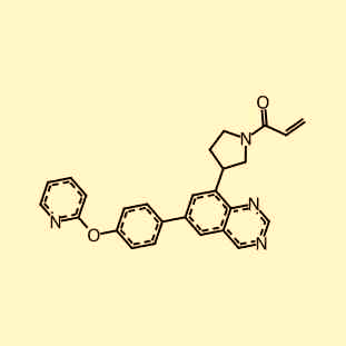 C=CC(=O)N1CCC(c2cc(-c3ccc(Oc4ccccn4)cc3)cc3cncnc23)C1